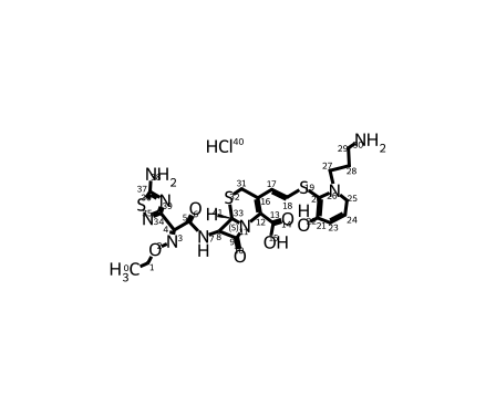 CCON=C(C(=O)NC1C(=O)N2C(C(=O)O)=C(C=CSC3=C(O)C=CCN3CCCN)CS[C@@H]12)c1nsc(N)n1.Cl